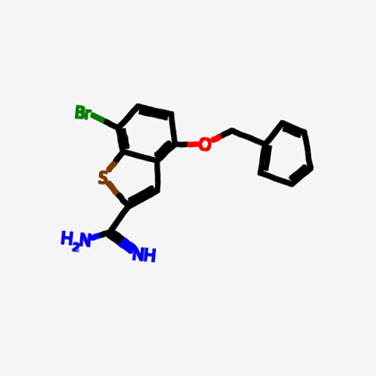 N=C(N)c1cc2c(OCc3ccccc3)ccc(Br)c2s1